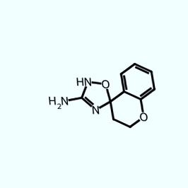 NC1=NC2(CCOc3ccccc32)ON1